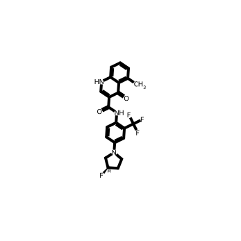 Cc1cccc2[nH]cc(C(=O)Nc3ccc(N4CC[C@@H](F)C4)cc3C(F)(F)F)c(=O)c12